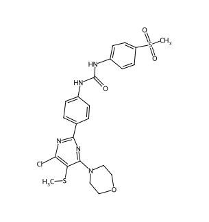 CSc1c(Cl)nc(-c2ccc(NC(=O)Nc3ccc(S(C)(=O)=O)cc3)cc2)nc1N1CCOCC1